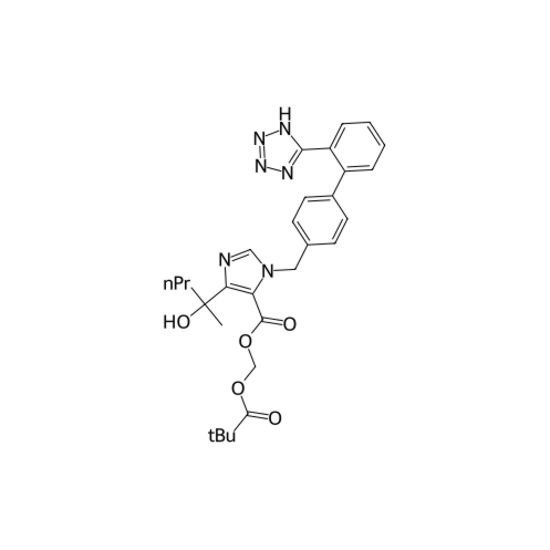 CCCC(C)(O)c1ncn(Cc2ccc(-c3ccccc3-c3nnn[nH]3)cc2)c1C(=O)OCOC(=O)C(C)(C)C